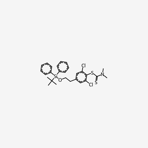 CN(C)C(=S)Sc1c(Cl)cc(CCO[Si](c2ccccc2)(c2ccccc2)C(C)(C)C)cc1Cl